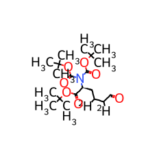 [2H]C(C=O)C([2H])C[C@@H](C(=O)OC(C)(C)C)N(C(=O)OC(C)(C)C)C(=O)OC(C)(C)C